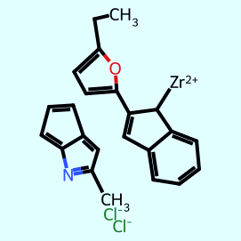 CC1=NC2=CC=CC2=C1.CCc1ccc(C2=Cc3ccccc3[CH]2[Zr+2])o1.[Cl-].[Cl-]